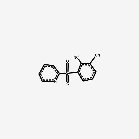 N#Cc1cccc(S(=O)(=O)c2ccccn2)c1C#N